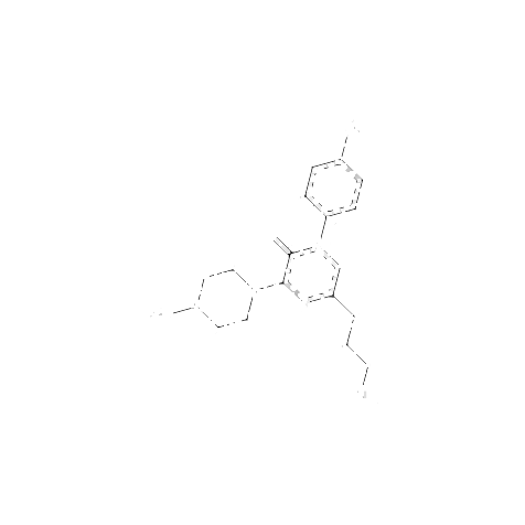 CSN1CCN(c2nc(CCCN)cn(-c3ccc(C#N)cc3)c2=O)CC1